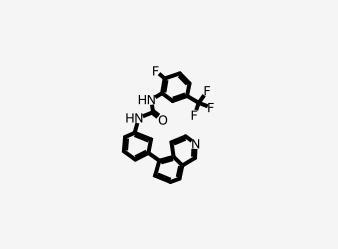 O=C(Nc1cccc(-c2cccc3cnccc23)c1)Nc1cc(C(F)(F)F)ccc1F